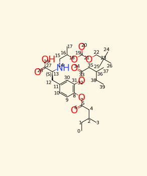 CCC(C)CC(=O)Oc1ccc(C[C@H](NCC(C)OC(=O)OCC(C)(C)C)C(=O)O)cc1OC(=O)CC(C)CC